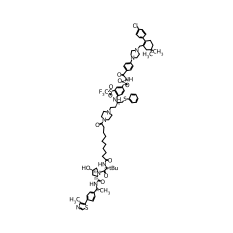 Cc1ncsc1-c1ccc([C@H](C)NC(=O)[C@@H]2C[C@@H](O)CN2C(=O)[C@@H](NC(=O)CCCCCCCCC(=O)N2CCN(CC[C@H](CSc3ccccc3)Nc3ccc(S(=O)(=O)NC(=O)c4ccc(N5CCN(CC6=C(c7ccc(Cl)cc7)CCC(C)(C)C6)CC5)cc4)cc3S(=O)(=O)C(F)(F)F)CC2)C(C)(C)C)cc1